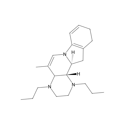 CCCN1CCN(CCC)[C@@H]2C1C(C)=CN1C3=C(CCC=C3)C[C@@H]21